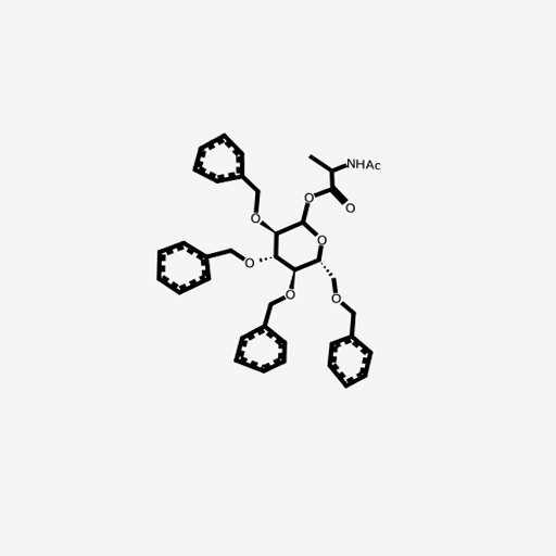 CC(=O)NC(C)C(=O)OC1O[C@H](COCc2ccccc2)[C@@H](OCc2ccccc2)[C@H](OCc2ccccc2)[C@H]1OCc1ccccc1